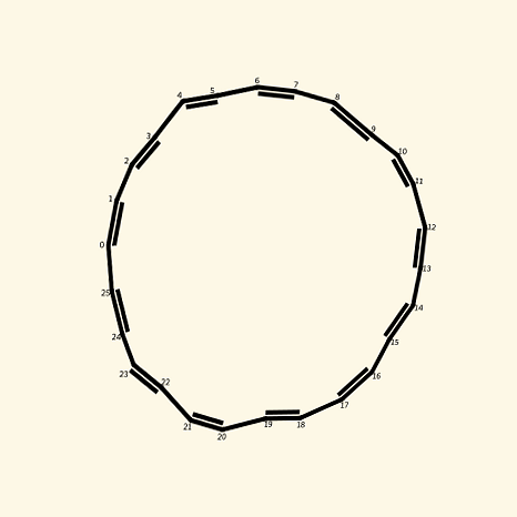 [c]1ccccccccccccccccccccccccc1